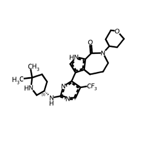 CC1(C)CC[C@H](Nc2ncc(C(F)(F)F)c(-c3c[nH]c4c3CCCN(C3CCOCC3)C4=O)n2)CN1